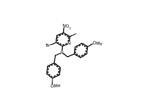 COc1ccc(CN(Cc2ccc(OC)cc2)c2nc(C)c([N+](=O)[O-])cc2Br)cc1